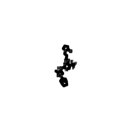 Cc1nn(C2CC3CCC(C2)N3C)cc1Nc1ncc(C(F)(F)F)c(NCCCN2CCCC2=O)n1